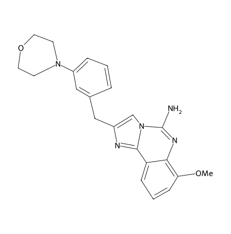 COc1cccc2c1nc(N)n1cc(Cc3cccc(N4CCOCC4)c3)nc21